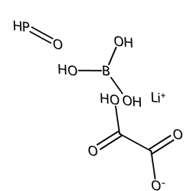 O=C([O-])C(=O)O.O=P.OB(O)O.[Li+]